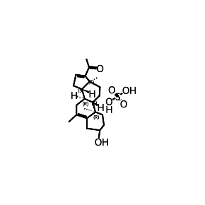 CC(=O)C1=CC[C@H]2[C@@H]3CC(C)=C4CC(O)CC[C@]4(C)[C@H]3CC[C@]12C.O=S(=O)(O)O